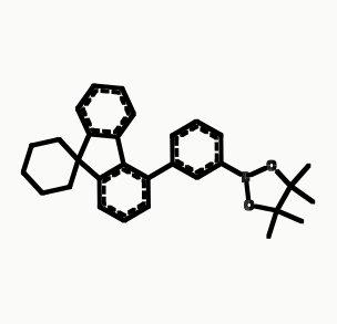 CC1(C)OB(c2cccc(-c3cccc4c3-c3ccccc3C43CCCCC3)c2)OC1(C)C